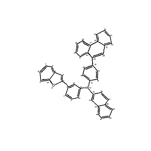 c1cc(-c2cc3ccccc3o2)cc(N(c2ccc(-c3cc4ccccc4c4ccccc34)cc2)c2ccc3ccccc3c2)c1